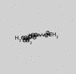 C=CC(=O)OCCCCCCOC(=O)Oc1ccc(C(=O)OC(=C)C)cc1